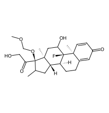 COCO[C@]1(C(=O)CO)C(C)C[C@H]2[C@@H]3CCC4=CC(=O)C=C[C@]4(C)[C@@]3(F)C(O)C[C@@]21C